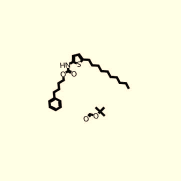 CC(C)(C)OC=O.CCCCCCCCCCc1ccc(NC(=O)OCCCCc2ccccc2)s1